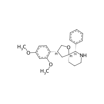 COc1ccc([C@@H]2CO[C@]3(CCCN[C@H]3c3ccccc3)C2)c(OC)c1